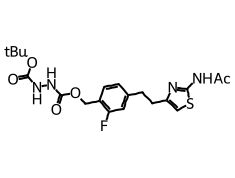 CC(=O)Nc1nc(CCc2ccc(COC(=O)NNC(=O)OC(C)(C)C)c(F)c2)cs1